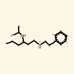 [CH2]C(F)NC(CCC)CCNCCc1ccccc1